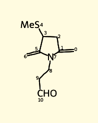 C=C1CC(SC)C(=C)N1CCC=O